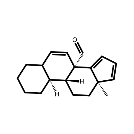 C[C@@]12C=CC=C1[C@]1(C=O)C=CC3CCCC[C@@H]3[C@H]1CC2